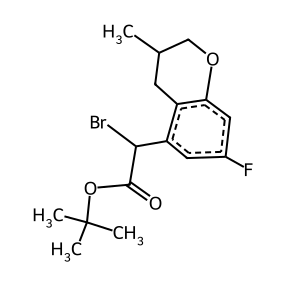 CC1COc2cc(F)cc(C(Br)C(=O)OC(C)(C)C)c2C1